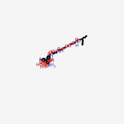 C=CCCC1C(CCCC)C1COC(=O)NCCOCCOCCOCCOCCC(=O)NCCCCC(NC(=O)c1ccc(-c2c3cc/c(=N\I)c(S(=O)(=O)O)c-3oc3c(S(=O)(=O)O)c(N)ccc23)c(C(=O)O)c1)C(=O)O